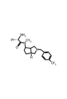 CC(C)[C@H](N)C(=O)N(C)C1CC[C@H]2CN(Cc3ccc(C(F)(F)F)cc3)CC12